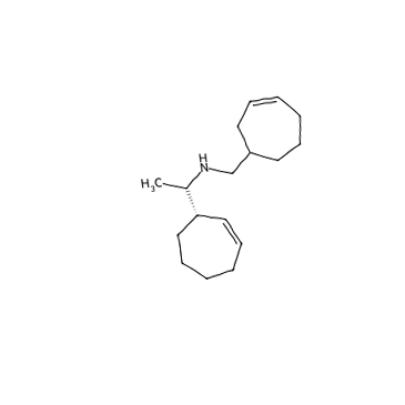 CC(NCC1CC=CCCC1)[C@@H]1C=CCCCC1